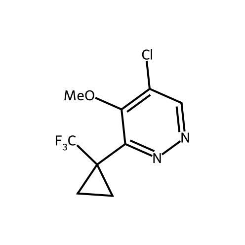 COc1c(Cl)cnnc1C1(C(F)(F)F)CC1